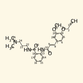 C#CCOc1ccc(C=CC(=O)Nc2ccccc2C(=O)NCCCN(C)C)cc1OC